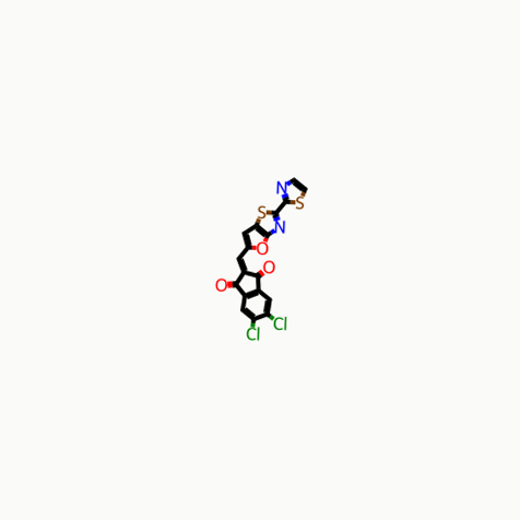 O=C1C(=Cc2cc3sc(-c4nccs4)nc3o2)C(=O)c2cc(Cl)c(Cl)cc21